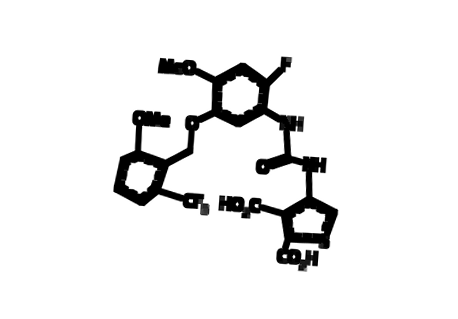 COc1cc(F)c(NC(=O)Nc2csc(C(=O)O)c2C(=O)O)cc1OCc1c(OC)cccc1C(F)(F)F